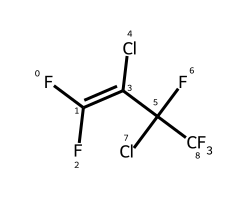 FC(F)=C(Cl)C(F)(Cl)C(F)(F)F